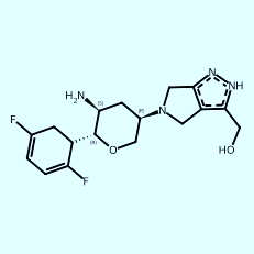 N[C@H]1C[C@@H](N2Cc3n[nH]c(CO)c3C2)CO[C@@H]1C1CC(F)=CC=C1F